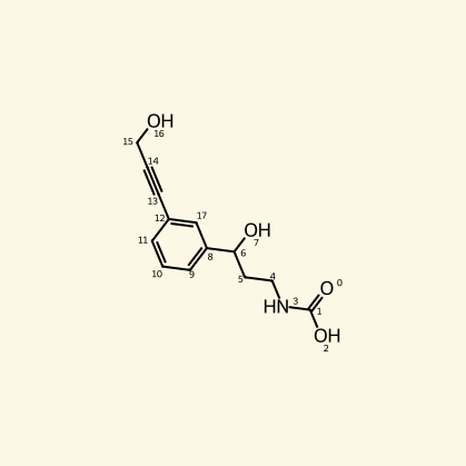 O=C(O)NCCC(O)c1cccc(C#CCO)c1